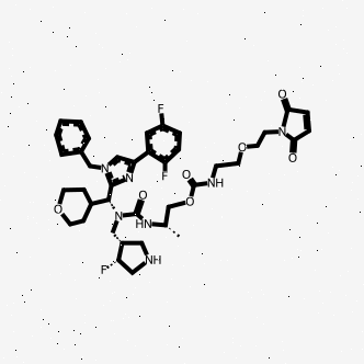 C[C@@H](COC(=O)NCCOCCN1C(=O)C=CC1=O)NC(=O)N(C[C@@H]1CNC[C@@H]1F)[C@@H](c1nc(-c2cc(F)ccc2F)cn1Cc1ccccc1)C1CCOCC1